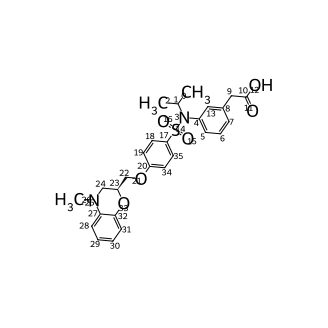 CC(C)N(c1cccc(CC(=O)O)c1)S(=O)(=O)c1ccc(OC[C@@H]2CN(C)c3ccccc3O2)cc1